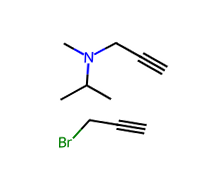 C#CCBr.C#CCN(C)C(C)C